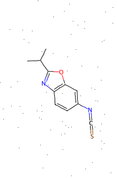 CC(C)c1nc2ccc(N=C=S)cc2o1